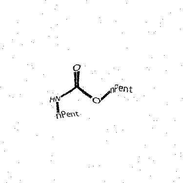 [CH2]CCCCNC(=O)OCCCCC